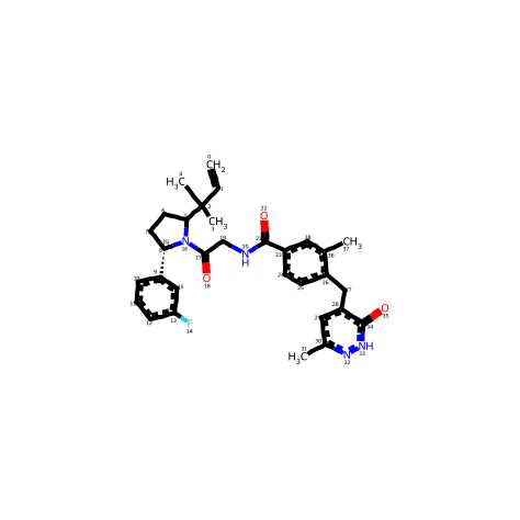 C=CC(C)(C)C1CC[C@@H](c2cccc(F)c2)N1C(=O)CNC(=O)c1ccc(Cc2cc(C)n[nH]c2=O)c(C)c1